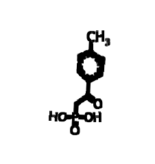 Cc1ccc(C(=O)CP(=O)(O)O)cc1